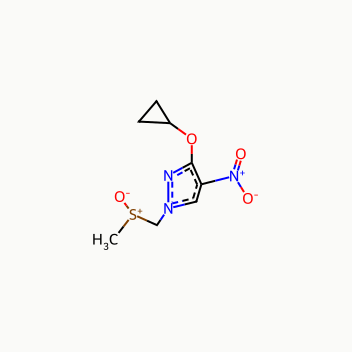 C[S+]([O-])Cn1cc([N+](=O)[O-])c(OC2CC2)n1